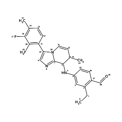 CCc1cc(NC2c3ncc(-c4ccc(C)c(F)c4P)n3C=CP2C)ccc1C=O